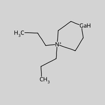 CCC[N+]1(CCC)C[CH2][GaH][CH2]C1